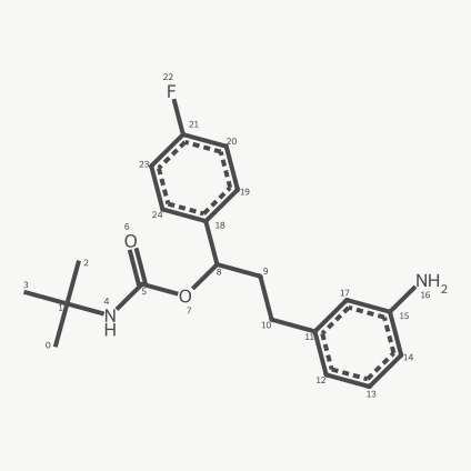 CC(C)(C)NC(=O)OC(CCc1cccc(N)c1)c1ccc(F)cc1